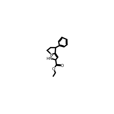 CCOC(=O)C1C=C2C(c3ccccc3)CCN2N1